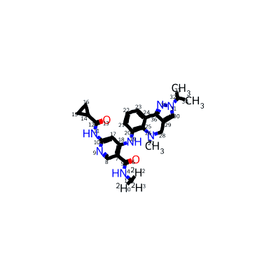 [2H]C([2H])([2H])NC(=O)c1cnc(NC(=O)C2CC2)cc1Nc1cccc2c1N(C)Cc1cn(C(C)C)nc1-2